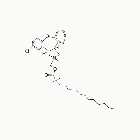 CCCCCCCCCCCCC(C)(C)C(=O)OC[N+]1(C)C[C@H]2c3ccccc3Oc3ccc(Cl)cc3[C@@H]2C1